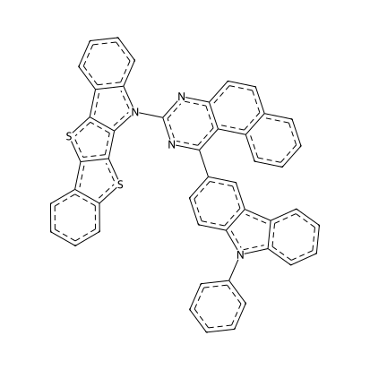 c1ccc(-n2c3ccccc3c3cc(-c4nc(-n5c6ccccc6c6sc7c8ccccc8sc7c65)nc5ccc6ccccc6c45)ccc32)cc1